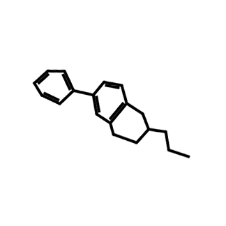 CCCC1CCc2cc(-c3ccccc3)ccc2C1